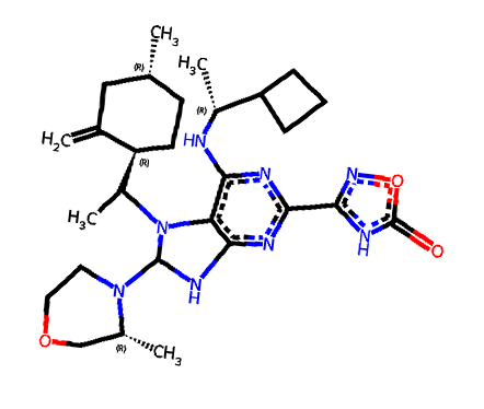 C=C1C[C@H](C)CC[C@H]1C(C)N1c2c(nc(-c3noc(=O)[nH]3)nc2N[C@H](C)C2CCC2)NC1N1CCOC[C@H]1C